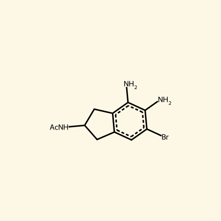 CC(=O)NC1Cc2cc(Br)c(N)c(N)c2C1